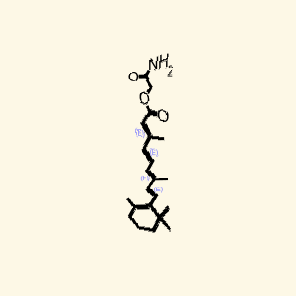 CC1=C(/C=C/C(C)=C/C=C/C(C)=C/C(=O)OCC(N)=O)C(C)(C)CCC1